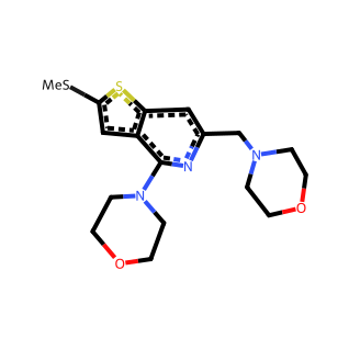 CSc1cc2c(N3CCOCC3)nc(CN3CCOCC3)cc2s1